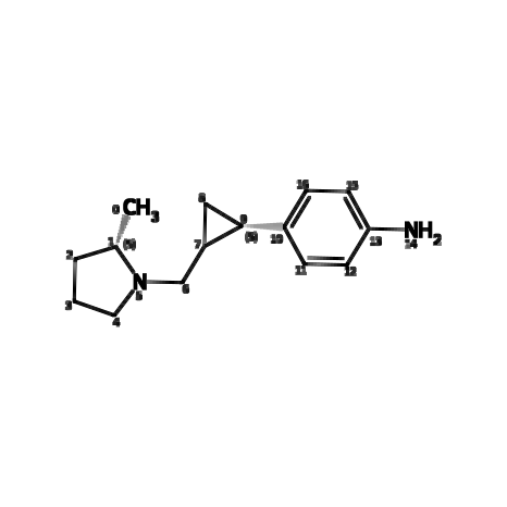 C[C@H]1CCCN1CC1C[C@@H]1c1ccc(N)cc1